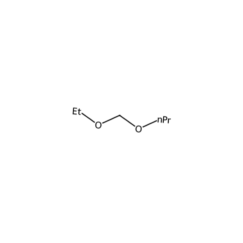 CCCOCOCC